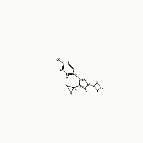 Clc1ccc(-c2cn(C3CCC3)nc2C2CC2)nc1